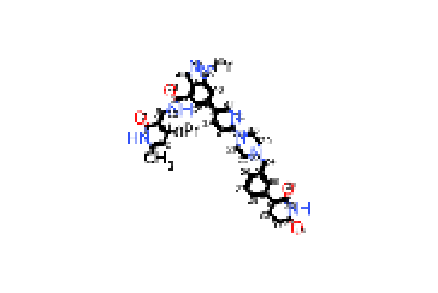 CCCc1cc(C)[nH]c(=O)c1CNC(=O)c1cc(-c2ccc(N3CCN(Cc4cccc(C5CCC(=O)NC5=O)c4)CC3)nc2)cc2c1cnn2C(C)C